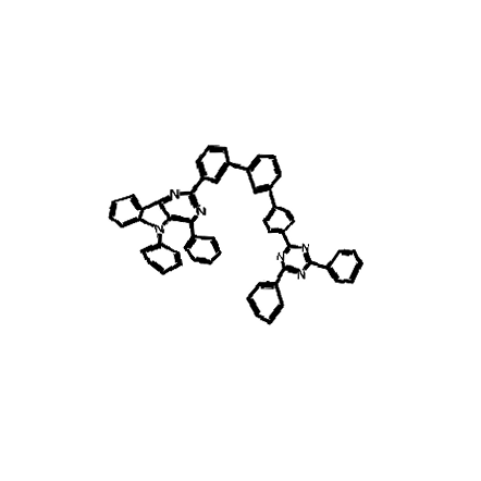 c1ccc(-c2nc(-c3ccccc3)nc(-c3ccc(-c4cccc(-c5cccc(-c6nc(-c7ccccc7)c7c(n6)c6ccccc6n7-c6ccccc6)c5)c4)cc3)n2)cc1